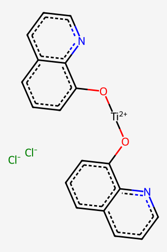 [Cl-].[Cl-].c1cnc2c([O][Ti+2][O]c3cccc4cccnc34)cccc2c1